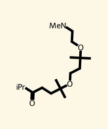 CNCCOC(C)(C)CCOC(C)(C)CCC(=O)C(C)C